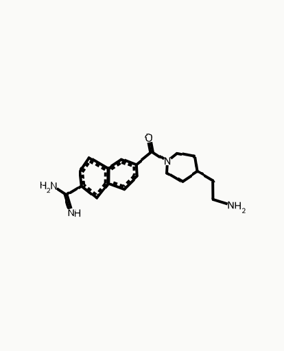 N=C(N)c1ccc2cc(C(=O)N3CCC(CCN)CC3)ccc2c1